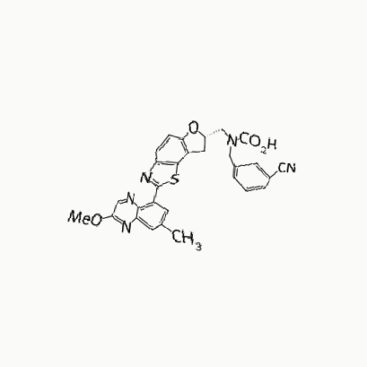 COc1cnc2c(-c3nc4ccc5c(c4s3)C[C@@H](CN(Cc3cccc(C#N)c3)C(=O)O)O5)cc(C)cc2n1